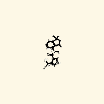 CC1CC(C)(C)c2cccc(N(C)C(=O)c3c[nH]nc3C(F)F)c21